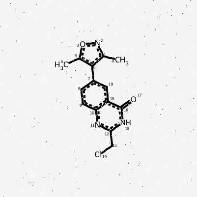 Cc1noc(C)c1-c1ccc2nc(CCl)[nH]c(=O)c2c1